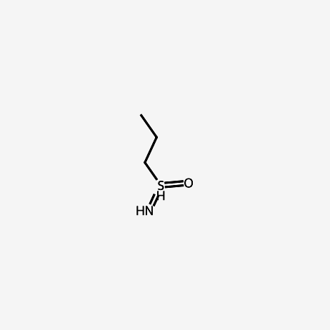 CCC[SH](=N)=O